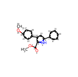 COC(=O)c1[nH]c(-c2ccccc2)cc1-c1ccc(OC)cc1